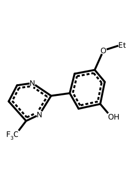 CCOc1cc(O)cc(-c2nccc(C(F)(F)F)n2)c1